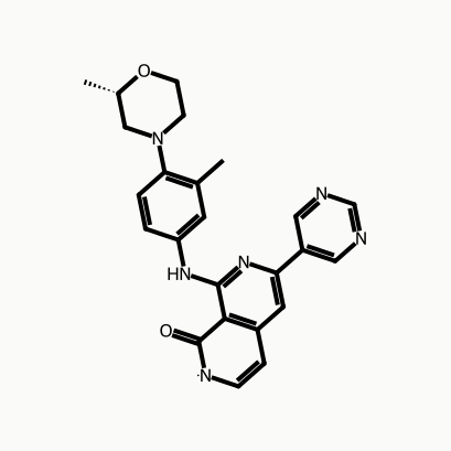 Cc1cc(Nc2nc(-c3cncnc3)cc3c2C(=O)[N]C=C3)ccc1N1CCO[C@@H](C)C1